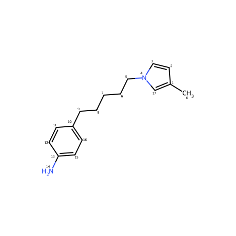 Cc1ccn(CCCCCc2ccc(N)cc2)c1